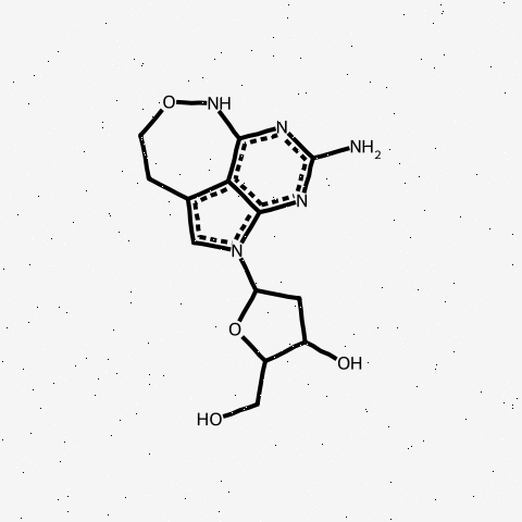 Nc1nc2c3c(cn(C4CC(O)C(CO)O4)c3n1)CCON2